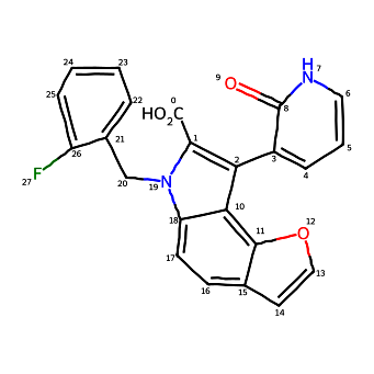 O=C(O)c1c(-c2ccc[nH]c2=O)c2c3occc3ccc2n1Cc1ccccc1F